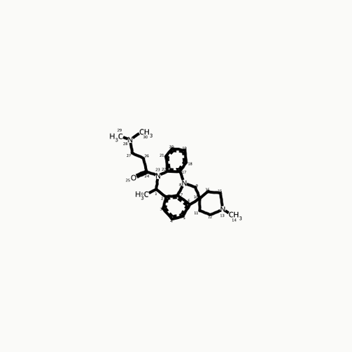 CC1c2cccc3c2N(CC32CCN(C)CC2)c2ccccc2N1C(=O)CCN(C)C